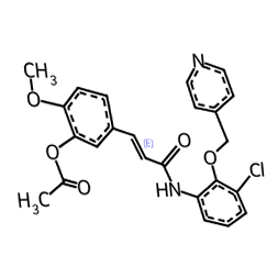 COc1ccc(/C=C/C(=O)Nc2cccc(Cl)c2OCc2ccncc2)cc1OC(C)=O